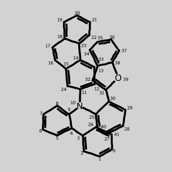 c1ccc(-c2ccccc2N(c2ccc3c(ccc4ccccc43)c2)c2ccccc2-c2cc3ccccc3o2)cc1